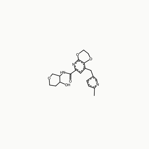 Cc1ccc(Cc2cc(C(=O)NC3COCCC3O)nc3c2OCCO3)cn1